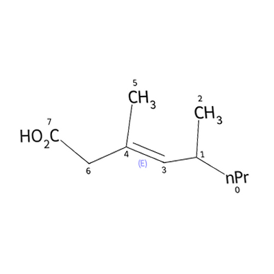 CCCC(C)/C=C(\C)CC(=O)O